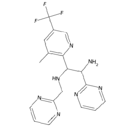 Cc1cc(C(F)(F)F)cnc1C(NCc1ncccn1)C(N)c1ncccn1